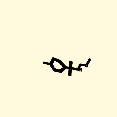 COCNS(=O)(=O)c1ccc(C)cc1